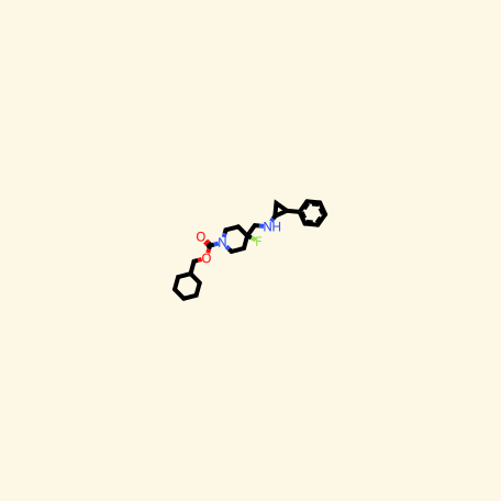 O=C(OCC1CCCCC1)N1CCC(F)(CNC2CC2c2ccccc2)CC1